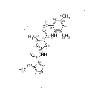 COc1cscc1C(=O)Nc1nc(C)c(C(=O)Nc2c(C)cc(C)cc2C)s1